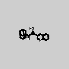 Cl.O=C(C1CC1c1cnc2ccccc2c1)C12CC3CC(CC(C3)C1)C2